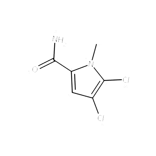 Cn1c(C(N)=O)cc(Cl)c1Cl